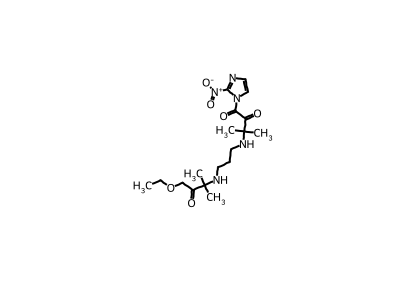 CCOCC(=O)C(C)(C)NCCCNC(C)(C)C(=O)C(=O)n1ccnc1[N+](=O)[O-]